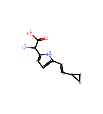 NC(C(=O)O)c1ccc(C=CC2CC2)[nH]1